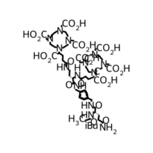 CCC(C)[C@H](C)C(=O)N[C@@H](CCC(N)=O)C(=O)NCc1ccc(CNC(=O)[C@H](CCNC(=O)CCC(C(=O)O)N2CCN(CC(=O)O)CCN(CC(=O)O)CCN(CC(=O)O)CC2)NC(=O)CCC(C(=O)O)N2CCN(CC(=O)O)CCN(CC(=O)O)CCN(CC(=O)O)CC2)cc1